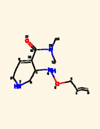 C=CCONC1CNCC=C1C(=O)N(C)C